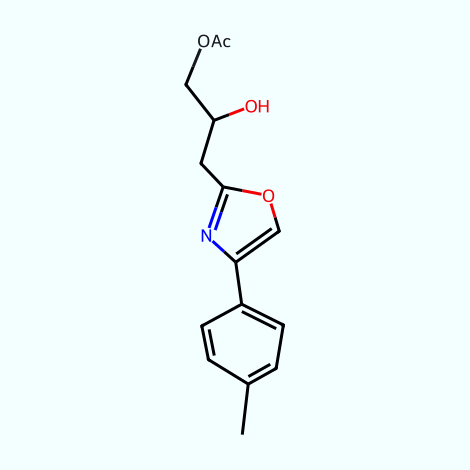 CC(=O)OCC(O)Cc1nc(-c2ccc(C)cc2)co1